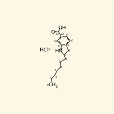 CCCCCCCC1Cc2ccc(C(=O)O)cc2N1.Cl